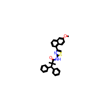 COc1ccc2c(-c3csc(NC(=O)C(C)(C)C(c4ccccc4)c4ccccc4)n3)cccc2c1